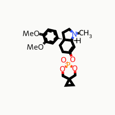 COc1ccc([C@@]23CCC(OP4(=O)OCC5(CC5)CO4)=C[C@@H]2N(C)CC3)cc1OC